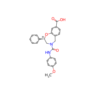 COc1ccc(NC(=O)N2Cc3ccc(C(=O)O)cc3O[C@H](c3ccccc3)C2)cc1